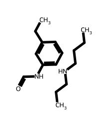 CCCCNCCC.CCc1cccc(NC=O)c1